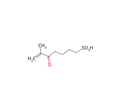 C=C(C)C(=O)CCCCS(=O)(=O)O